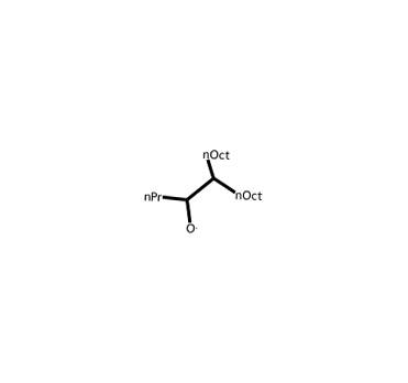 CCCCCCCCC(CCCCCCCC)C([O])CCC